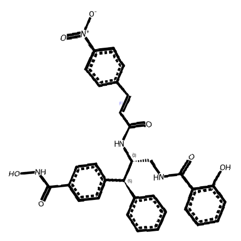 O=C(/C=C/c1ccc([N+](=O)[O-])cc1)N[C@H](CNC(=O)c1ccccc1O)[C@@H](c1ccccc1)c1ccc(C(=O)NO)cc1